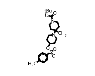 Cc1ccc(S(=O)(=O)OC2CCN(C3(C)CCN(C(=O)OC(C)(C)C)CC3)CC2)cc1